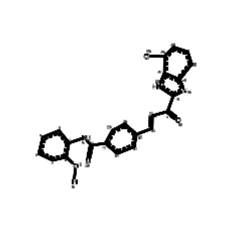 CCOc1ccccc1NC(=O)c1ccc(C=CC(=O)c2nc3cccc(Cl)c3[nH]2)cc1